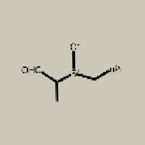 CCCC[S+]([O-])C(C)C=O